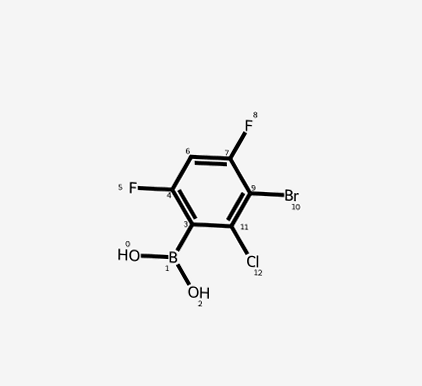 OB(O)c1c(F)cc(F)c(Br)c1Cl